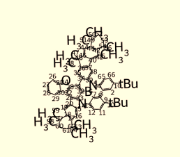 CC(C)(C)c1ccc(N2B3c4cc(C(C)(C)C)ccc4-n4c5cc6c(cc5c5c7c(oc8ccccc87)c(c3c54)-c3cc4c(cc32)-c2cc3c(cc2C4(C)C)C(C)(C)CCC3(C)C)C(C)(C)CCC6(C)C)cc1